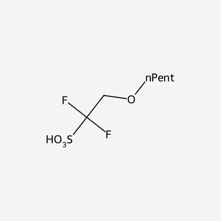 CCCCCOCC(F)(F)S(=O)(=O)O